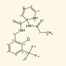 CCC(=O)NC1(C(=O)NCc2cccc(C(F)(F)F)c2Cl)C=NC=CN1